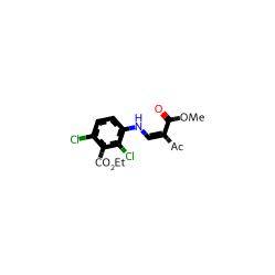 CCOC(=O)c1c(Cl)ccc(NC=C(C(C)=O)C(=O)OC)c1Cl